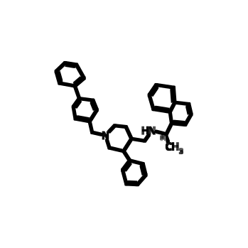 C[C@@H](NCC1CCN(Cc2ccc(-c3ccccc3)cc2)CC1c1ccccc1)c1cccc2ccccc12